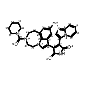 O=C1NC(=O)C(c2cnc3ccccn23)=C1c1cn2c3c(cc(F)cc13)CCN(C(=O)N1CCCCC1)CC2